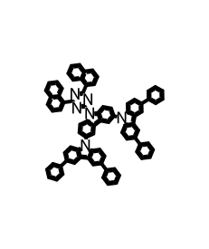 c1ccc(-c2ccc3c(c2)c2cc(-c4ccccc4)ccc2n3-c2ccc3c(c2)c2cc(-n4c5ccc(-c6ccccc6)cc5c5cc(-c6ccccc6)ccc54)ccc2n3-c2nc(-c3cccc4ccccc34)nc(-c3cccc4ccccc34)n2)cc1